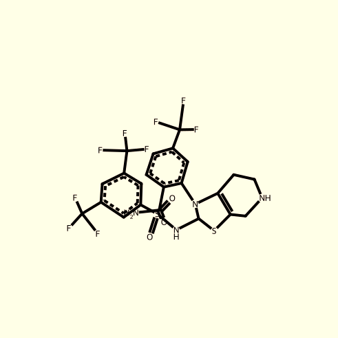 NC(=O)c1ccc(C(F)(F)F)cc1N1C2=C(CNCC2)SC1NS(=O)(=O)c1cc(C(F)(F)F)cc(C(F)(F)F)c1